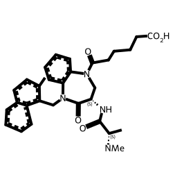 CN[C@@H](C)C(=O)N[C@H]1CN(C(=O)CCCCC(=O)O)c2ccccc2N(Cc2c(C)ccc3ccccc23)C1=O